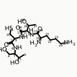 CC(O)C(CO)NC(=O)C(CS)NC(=O)C(NC(=O)C(N)CCCCN)C(C)O